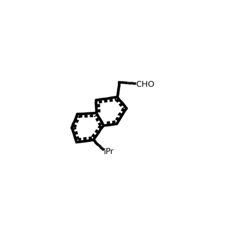 CC(C)c1cccc2cc(CC=O)ccc12